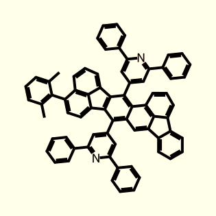 Cc1cccc(C)c1-c1ccc2c3c(-c4cc(-c5ccccc5)nc(-c5ccccc5)c4)c4cc5c6ccccc6c6cccc(c4c(-c4cc(-c7ccccc7)nc(-c7ccccc7)c4)c3c3cccc1c23)c65